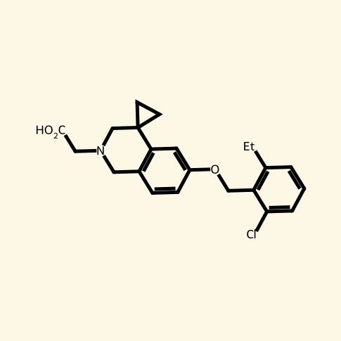 CCc1cccc(Cl)c1COc1ccc2c(c1)C1(CC1)CN(CC(=O)O)C2